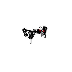 N#C[C@@H]1C[C@H](F)CN1C(=O)CN(C(=O)OCc1ccccc1)C12CCC(C(=O)NC3C4CC5CC(C4)CC3(O)C5)(CC1)CC2